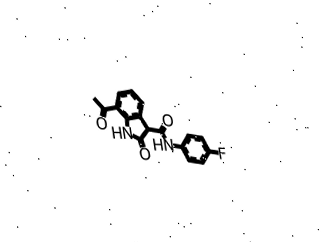 CC(=O)c1cccc2c1NC(=O)C2C(=O)Nc1ccc(F)cc1